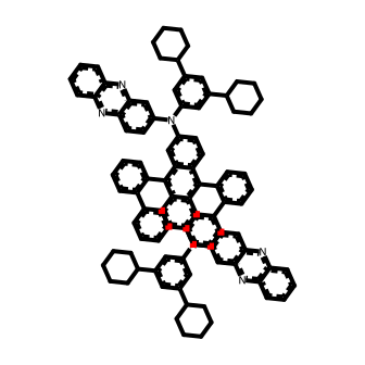 c1ccc(-c2ccccc2-c2c3ccc(N(c4cc(C5CCCCC5)cc(C5CCCCC5)c4)c4ccc5nc6ccccc6nc5c4)cc3c(-c3ccccc3-c3ccccc3)c3ccc(N(c4cc(C5CCCCC5)cc(C5CCCCC5)c4)c4ccc5nc6ccccc6nc5c4)cc23)cc1